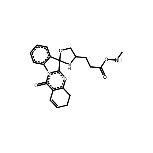 CNOC(=O)CCC1COC2(N1)c1ccccc1-n1c2nc2c(c1=O)C=CCC2